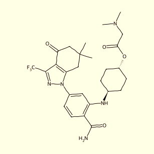 CN(C)CC(=O)O[C@H]1CC[C@H](Nc2cc(-n3nc(C(F)(F)F)c4c3CC(C)(C)CC4=O)ccc2C(N)=O)CC1